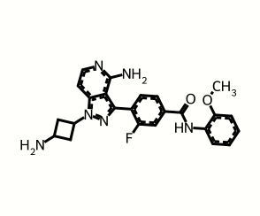 COc1ccccc1NC(=O)c1ccc(-c2nn(C3CC(N)C3)c3ccnc(N)c23)c(F)c1